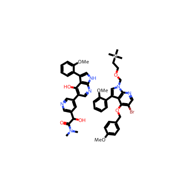 COc1ccc(COc2c(Br)cnc3c2c(-c2ccccc2OC)cn3COCC[Si](C)(C)C)cc1.COc1ccccc1-c1c[nH]c2ncc(-c3cncc(C(O)C(=O)N(C)C)c3)c(O)c12